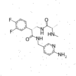 CN[C@@H](C)C(=O)NC[C@H](C(=O)NCc1ccc(N)nc1)c1ccc(F)c(F)c1